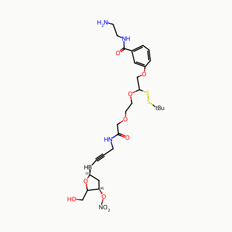 CC(C)(C)SSC(COc1cccc(C(=O)NCCN)c1)OCCOCC(=O)NCC#CB[C@H]1C[C@@H](O[N+](=O)[O-])C(CO)O1